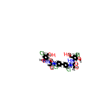 COc1cc(NC(=O)C(/N=N/c2ccc(-c3ccc(/N=N/C(C(C)=O)C(=O)Nc4cc(CO)c(Cl)cc4OC)c(Cl)c3)cc2Cl)C(C)=O)c(CO)cc1Cl